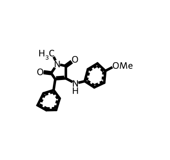 COc1ccc(NC2=C(c3ccccc3)C(=O)N(C)C2=O)cc1